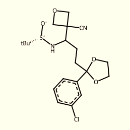 CC(C)(C)[S@+]([O-])NC(CCC1(c2cccc(Cl)c2)OCCO1)C1(C#N)COC1